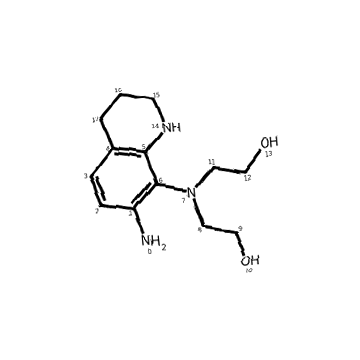 Nc1ccc2c(c1N(CCO)CCO)NCCC2